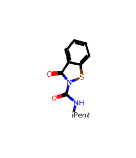 CCCC(C)NC(=O)n1sc2ccccc2c1=O